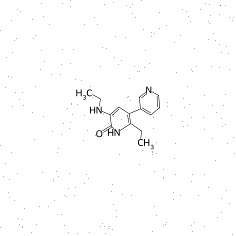 CCNc1cc(-c2cccnc2)c(CC)[nH]c1=O